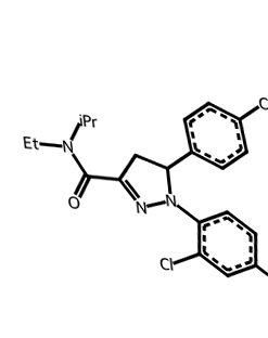 CCN(C(=O)C1=NN(c2ccc(Cl)cc2Cl)C(c2ccc(Cl)cc2)C1)C(C)C